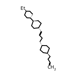 C=CCC[C@H]1CC[C@H](CCC=C[C@H]2CC[C@H]([C@H]3CC[C@H](CC)CC3)CC2)CC1